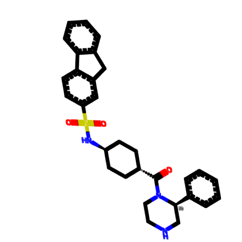 O=C([C@H]1CC[C@H](NS(=O)(=O)c2ccc3c(c2)Cc2ccccc2-3)CC1)N1CCNC[C@@H]1c1ccccc1